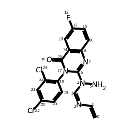 C=C/N=C\N(N)c1nc2ccc(F)cc2c(=O)n1-c1ccc(Cl)cc1Cl